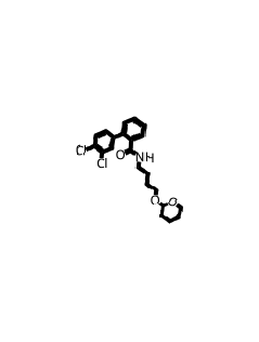 O=C(NCCCCOC1CCCCO1)c1ccccc1-c1ccc(Cl)c(Cl)c1